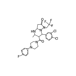 CC1NC2CC(=O)N(CC(F)(F)F)N2C(c2ccc(Cl)c(Cl)c2)C1C(=O)N1CCN(c2ccc(F)cc2)CC1